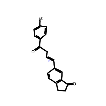 CCc1ccc(C(=O)C/C=C/c2ccc3c(c2)C(=O)CC3)cc1